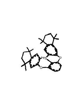 CC1(C)CCC(C)(C)c2cc3c(cc21)Oc1cccc2c1[SH]3c1cc3c(cc1O2)C(C)(C)CCC3(C)C